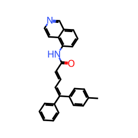 Cc1ccc(C(=CC=CC(=O)Nc2cccc3cnccc23)c2ccccc2)cc1